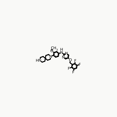 COc1cc(Nc2ncc(OCc3c(F)c(F)cc(F)c3F)cn2)ccc1N1CCC2(CCNCC2)CC1